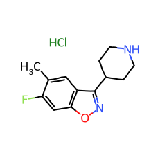 Cc1cc2c(C3CCNCC3)noc2cc1F.Cl